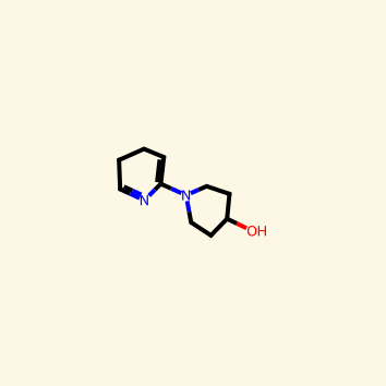 OC1CCN(C2=CCCC=N2)CC1